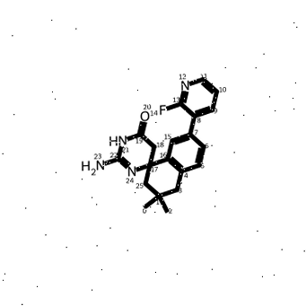 CC1(C)Cc2ccc(-c3cccnc3F)cc2C2(CC(=O)NC(N)=N2)C1